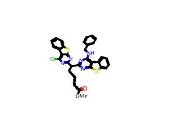 COC(=O)CCCC(c1nc(Cl)c2c(n1)sc1ccccc12)c1nc(NCc2ccccc2)c2c(n1)sc1ccccc12